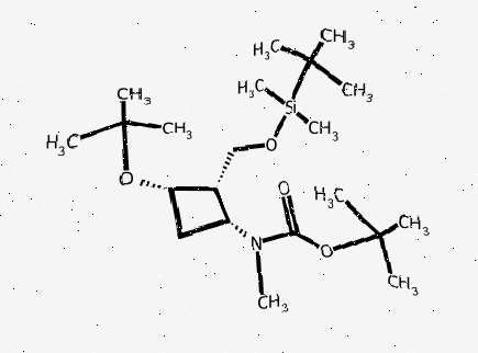 CN(C(=O)OC(C)(C)C)[C@@H]1C[C@H](OC(C)(C)C)[C@@H]1CO[Si](C)(C)C(C)(C)C